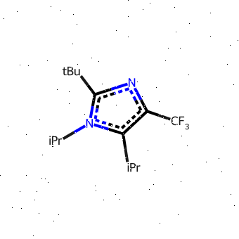 CC(C)c1c(C(F)(F)F)nc(C(C)(C)C)n1C(C)C